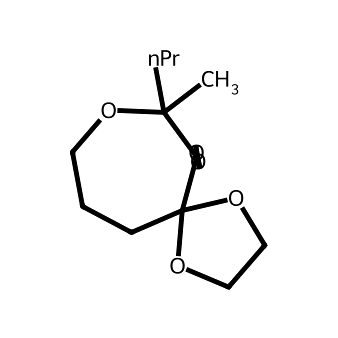 CCCC1(C)OCCCC2(OCCO2)C12OCCO2